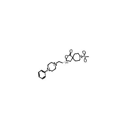 CS(=O)(=O)N1CCC2(CC1)C[C@H](CCN1CCN(c3ccccc3)CC1)OC2=O